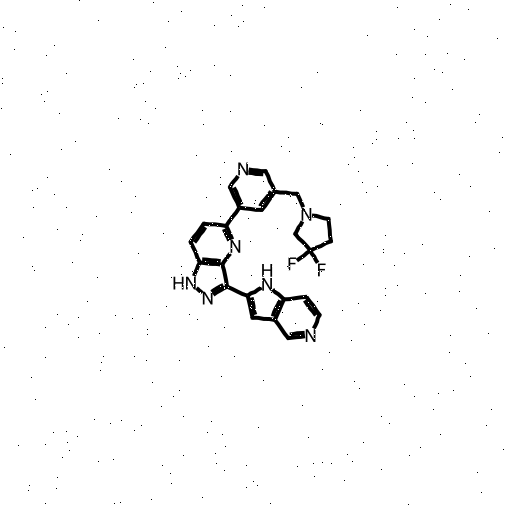 FC1(F)CCN(Cc2cncc(-c3ccc4[nH]nc(-c5cc6cnccc6[nH]5)c4n3)c2)C1